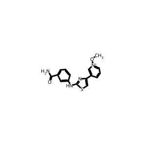 CO[n+]1cccc(-c2csc(Nc3cccc(C(N)=O)c3)n2)c1